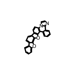 c1ccc2c(c1)oc1c2ccc2c3ccc4c(c5ccccc5c5nccn45)c3oc21